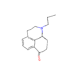 CCCN1CCc2cccc3c2C1CCC3=O